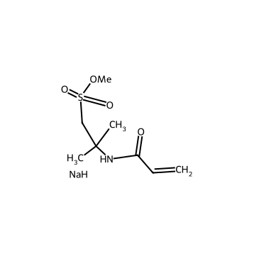 C=CC(=O)NC(C)(C)CS(=O)(=O)OC.[NaH]